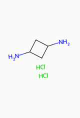 Cl.Cl.NC1CC(N)C1